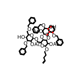 C=CCCCO[C@@H]1OC(CO[C@@H]2OC(COCc3ccccc3)[C@@H](O)C(OCc3ccccc3)C2OC(C)=O)[C@@H](O[C@H]2OC(COCc3ccccc3)[C@@H](O)C(OCc3ccccc3)C2OC(C)=O)C(OCc2ccccc2)C1OC(C)=O